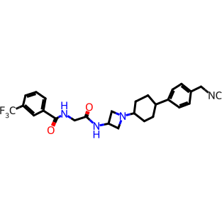 [C-]#[N+]Cc1ccc(C2CCC(N3CC(NC(=O)CNC(=O)c4cccc(C(F)(F)F)c4)C3)CC2)cc1